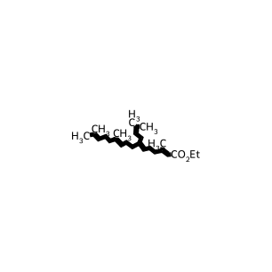 CCOC(=O)/C=C(\C)CC/C=C(\CC=C(C)C)CC/C=C(\C)CCC=C(C)C